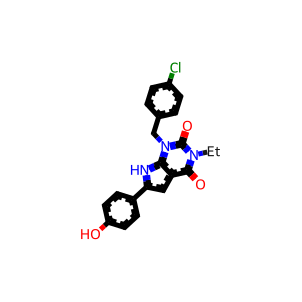 CCn1c(=O)c2cc(-c3ccc(O)cc3)[nH]c2n(Cc2ccc(Cl)cc2)c1=O